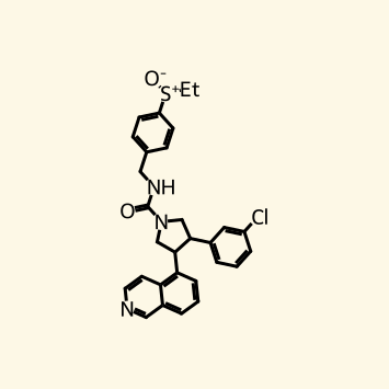 CC[S+]([O-])c1ccc(CNC(=O)N2CC(c3cccc(Cl)c3)C(c3cccc4cnccc34)C2)cc1